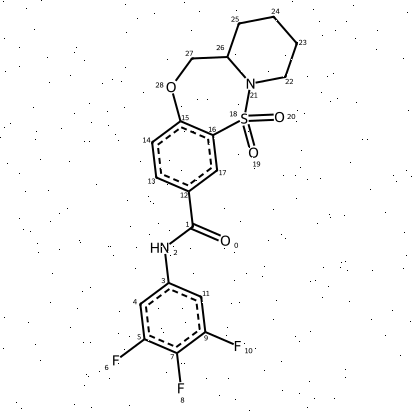 O=C(Nc1cc(F)c(F)c(F)c1)c1ccc2c(c1)S(=O)(=O)N1CCCCC1CO2